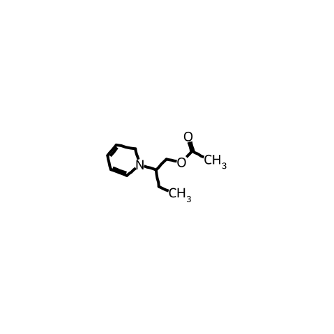 CCC(COC(C)=O)N1C=CC=CC1